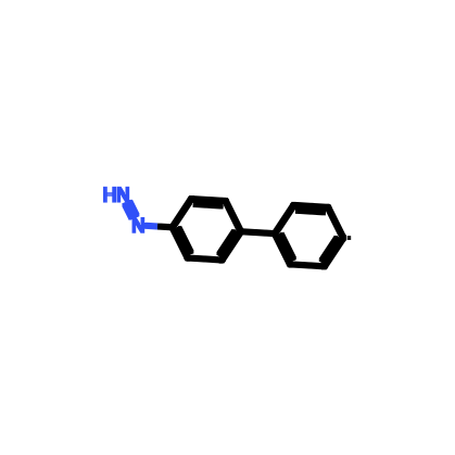 N=Nc1ccc(-c2cc[c]cc2)cc1